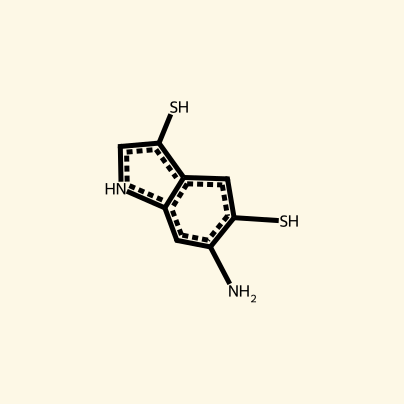 Nc1cc2[nH]cc(S)c2cc1S